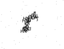 CN1CCC(Oc2ccc(NC(=O)Nc3ccc(Oc4ccnc5[nH]cc(Cl)c45)cc3F)cc2C(F)(F)F)C(F)C1